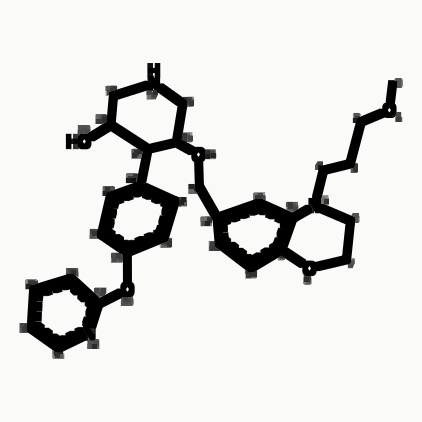 COCCCN1CCOc2ccc(COC3CNCC(O)C3c3ccc(Oc4ccccn4)cc3)cc21